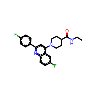 CCNC(=O)C1CCN(c2cc(-c3ccc(F)cc3)nc3ccc(F)cc23)CC1